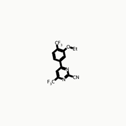 CCOc1cc(-c2cc(C(F)(F)F)nc(C#N)n2)ccc1C(F)(F)F